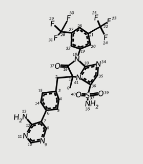 CC1(Cc2ccc(-c3cncnc3N)cc2)C(=O)N(c2cc(C(F)(F)F)cc(C(F)(F)F)c2)c2ncc(S(N)(=O)=O)n21